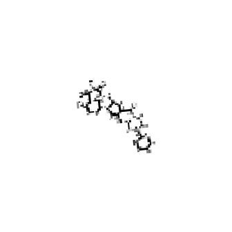 O=C(c1cc(Cn2c(=O)[nH]c(=O)c3c(F)cccc32)ccc1F)N1CCN(c2ncccn2)CC1